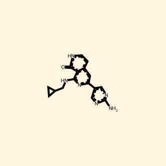 Nc1ncc(-c2cc3cc[nH]c(=O)c3c(NCC3CC3)n2)cn1